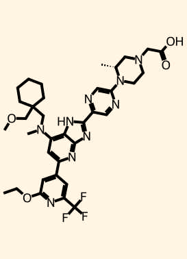 CCOc1cc(-c2cc(N(C)CC3(COC)CCCCC3)c3[nH]c(-c4cnc(N5CCN(CC(=O)O)C[C@H]5C)cn4)nc3n2)cc(C(F)(F)F)n1